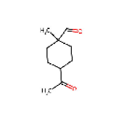 CC(=O)C1CCC(C)(C=O)CC1